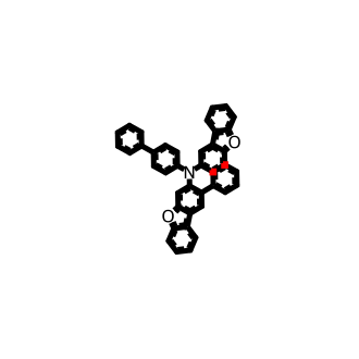 c1ccc(-c2ccc(N(c3ccc4oc5ccccc5c4c3)c3cc4oc5ccccc5c4cc3-c3ccccc3)cc2)cc1